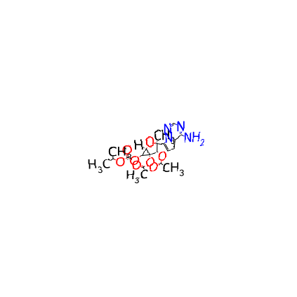 CC(=O)O[C@@H]1[C@@]2(OC(C)=O)C(OC(=O)OC(C)C)[C@H]2O[C@@]1(C)c1ccc2c(N)ncnn12